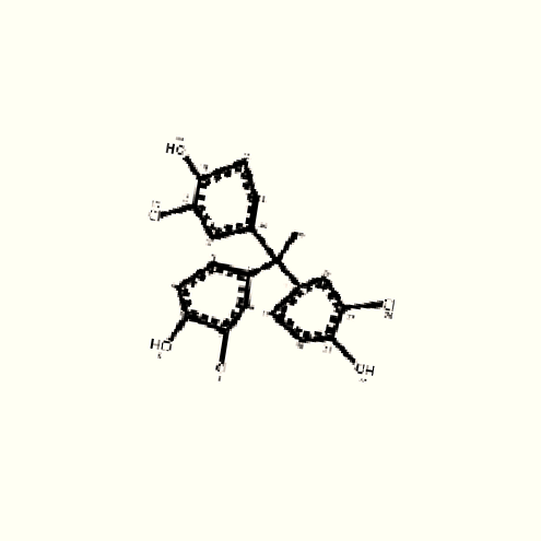 CC(c1ccc(O)c(Cl)c1)(c1ccc(O)c(Cl)c1)c1ccc(O)c(Cl)c1